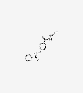 CCC=NNC(=O)c1ccc(CNC(=O)c2ccccc2)cc1